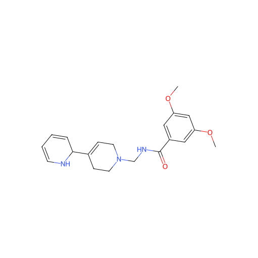 COc1cc(OC)cc(C(=O)NCN2CC=C(C3C=CC=CN3)CC2)c1